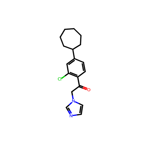 O=C(Cn1ccnc1)c1ccc(C2CCCCCC2)cc1Cl